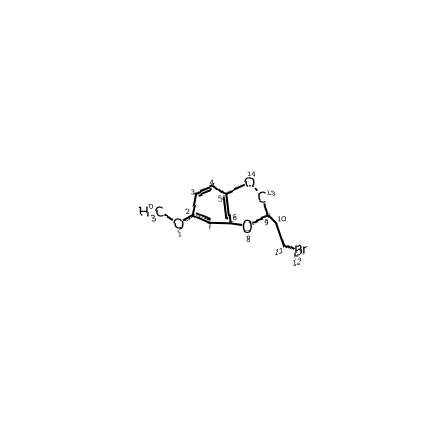 COc1ccc2c(c1)OC(CCBr)CO2